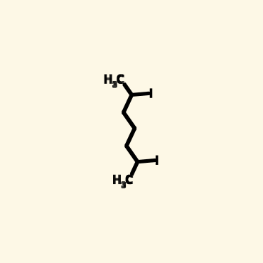 CC(I)CCCC(C)I